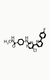 CNC(=O)[C@H]1CC[C@H](Nc2ncc(Cl)c(-c3cccc(-c4ccc(F)cc4)n3)n2)CC1